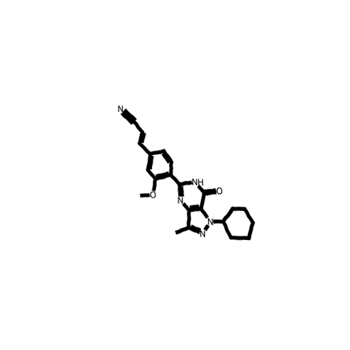 COc1cc(/C=C/C#N)ccc1-c1nc2c(C)nn(C3CCCCC3)c2c(=O)[nH]1